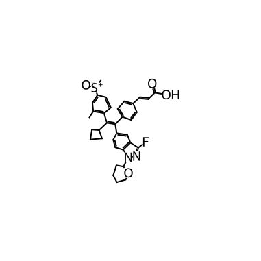 Cc1cc([S+](C)[O-])ccc1C(=C(c1ccc(C=CC(=O)O)cc1)c1ccc2c(c1)c(F)nn2C1CCCCO1)C1CCC1